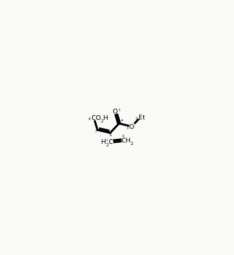 C=C.CCOC(=O)/C=C\C(=O)O